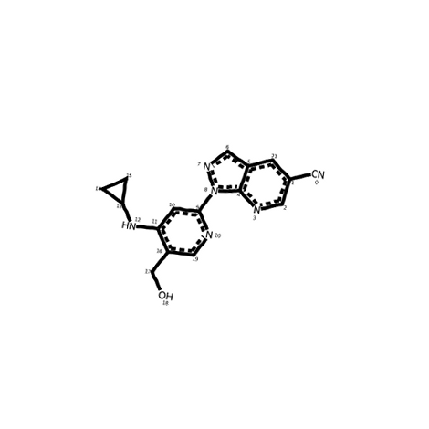 N#Cc1cnc2c(cnn2-c2cc(NC3CC3)c(CO)cn2)c1